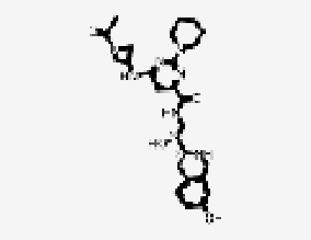 CC(=O)N1CC(Nc2cc(C(=O)NC[C@@H](O)[C@@H]3Cc4ccc(O)cc4CN3)nc(N3CCCCC3)n2)C1